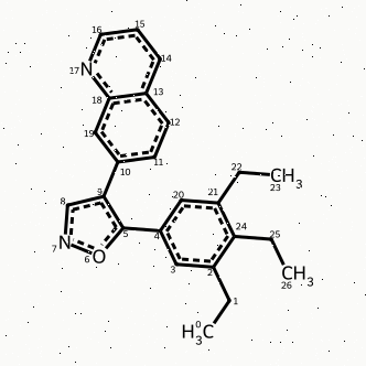 CCc1cc(-c2oncc2-c2ccc3cccnc3c2)cc(CC)c1CC